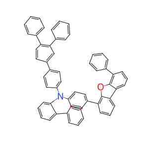 c1ccc(-c2ccc(-c3ccc(N(c4ccc(-c5cccc6c5oc5c(-c7ccccc7)cccc56)cc4)c4ccccc4-c4ccccc4)cc3)cc2-c2ccccc2)cc1